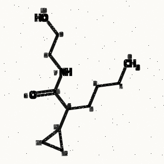 CCCCC(C(=O)NCCO)C1CC1